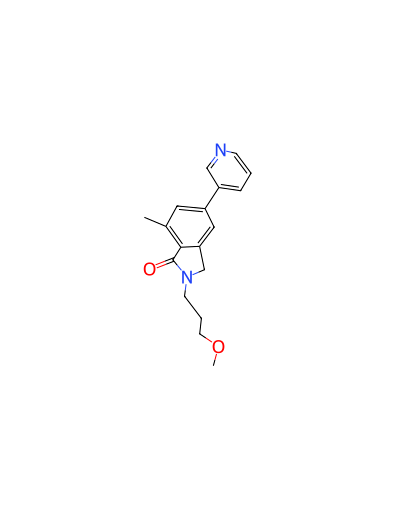 COCCCN1Cc2cc(-c3cccnc3)cc(C)c2C1=O